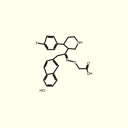 Cl.O=C(O)CON=C(Cc1ccc2ccccc2c1)C1CNCCC1c1ccc(F)cc1